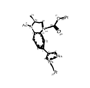 CC(=O)N1c2ccc(-c3cnn(C(C)C)c3)cc2N(C(=O)OC(C)C)C[C@@H]1C